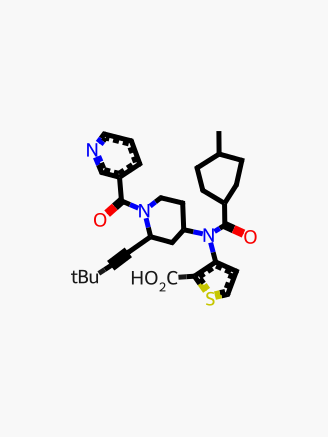 CC1CCC(C(=O)N(c2ccsc2C(=O)O)C2CCN(C(=O)c3cccnc3)C(C#CC(C)(C)C)C2)CC1